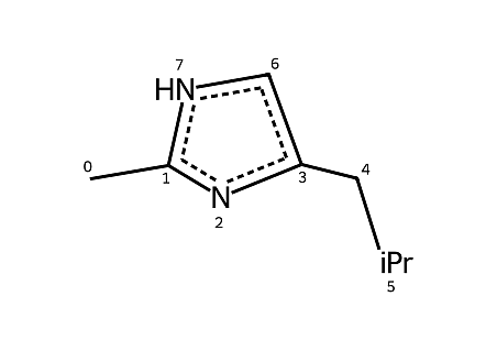 Cc1nc(CC(C)C)c[nH]1